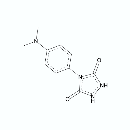 CN(C)c1ccc(-n2c(=O)[nH][nH]c2=O)cc1